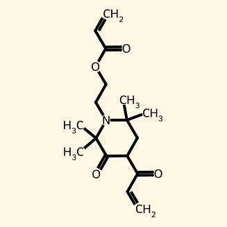 C=CC(=O)OCCN1C(C)(C)CC(C(=O)C=C)C(=O)C1(C)C